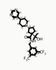 CC(C)(O)[C@]1(C(=O)NCc2cc(C(F)(F)F)cc(C(F)(F)F)c2)CC[C@@H](N2CCC(c3cncnc3)CC2)C1